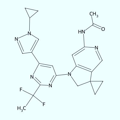 CC(=O)Nc1cc2c(cn1)C1(CC1)CN2c1cc(-c2cnn(C3CC3)c2)nc(C(C)(F)F)n1